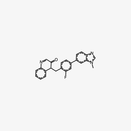 Cn1cnc2ccc(-c3ccc(CC4C(=O)C=Nc5ccccc54)c(F)c3)cc21